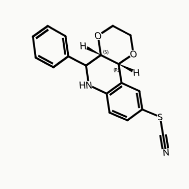 N#CSc1ccc2c(c1)[C@H]1OCCO[C@H]1C(c1ccccc1)N2